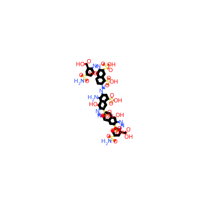 Nc1c(N=Nc2ccc3c(O)c(/N=N\c4ccc(S(N)(=O)=O)cc4C(=O)O)c(S(=O)(=O)O)cc3c2S(=O)(=O)O)cc(S(=O)(=O)O)c2cc(S(=O)(=O)O)c(/N=N\c3ccc4c(O)c(/N=N\c5ccc(S(N)(=O)=O)cc5C(=O)O)c(S(=O)(=O)O)cc4c3)c(O)c12